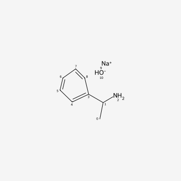 CC(N)c1ccccc1.[Na+].[OH-]